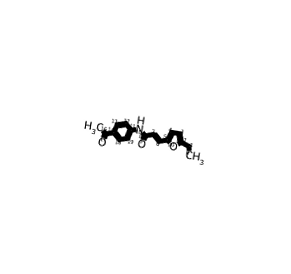 CCc1ccc(C=CC(=O)Nc2ccc(C(C)=O)cc2)o1